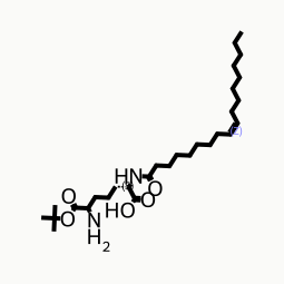 CCCCCCCC/C=C\CCCCCCCC(=O)N[C@@H](CCCC(N)C(=O)OC(C)(C)C)C(=O)O